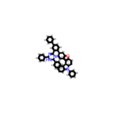 C1=CC2C(c3ccccc3N2c2ccccc2)c2c1oc1c2C=CC(c2ccc(-c3ccccc3)cc2C2=NC(c3ccccc3)NC(c3ccccc3)N2)C1